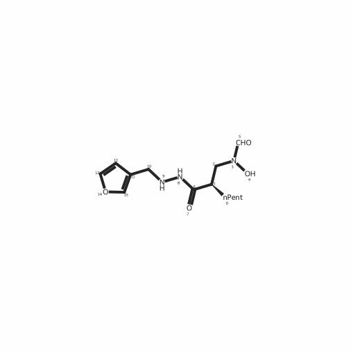 CCCCC[C@H](CN(O)C=O)C(=O)NNCc1ccoc1